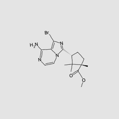 COC(=O)[C@@]1(C)CC[C@@H](c2nc(Br)c3c(N)nccn23)C1(C)C